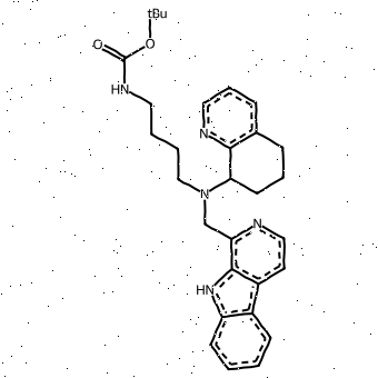 CC(C)(C)OC(=O)NCCCCN(Cc1nccc2c1[nH]c1ccccc12)C1CCCc2cccnc21